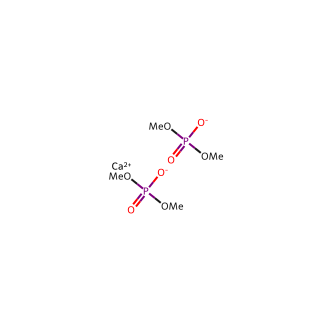 COP(=O)([O-])OC.COP(=O)([O-])OC.[Ca+2]